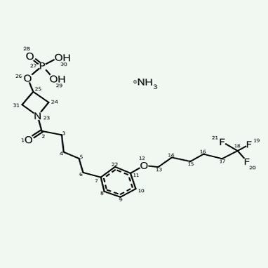 N.O=C(CCCCc1cccc(OCCCCCC(F)(F)F)c1)N1CC(OP(=O)(O)O)C1